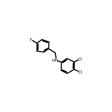 Fc1ccc(CNc2ccc(Cl)c(Cl)c2)cc1